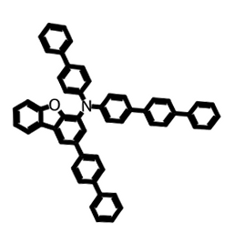 c1ccc(-c2ccc(-c3ccc(N(c4ccc(-c5ccccc5)cc4)c4cc(-c5ccc(-c6ccccc6)cc5)cc5c4oc4ccccc45)cc3)cc2)cc1